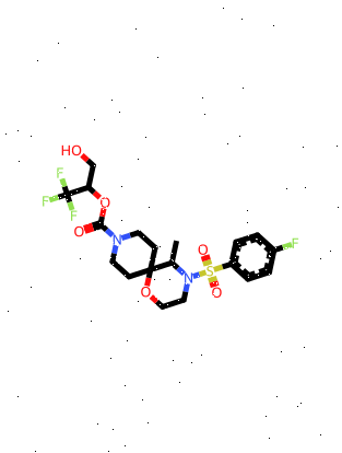 CC1N(S(=O)(=O)c2ccc(F)cc2)CCOC12CCN(C(=O)OC(CO)C(F)(F)F)CC2